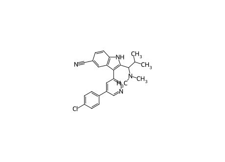 CC(C)C(c1[nH]c2ccc(C#N)cc2c1-c1cncc(-c2ccc(Cl)cc2)c1)N(C)C